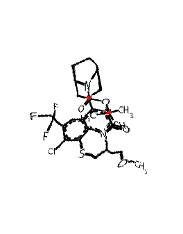 COCC1CSc2c(Cl)c(C(F)(F)F)cc3c(N4CC5CCC(C4)N5C(=O)OC(C)(C)C)nc(=O)n1c23